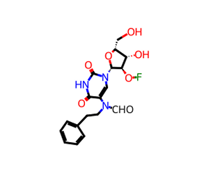 O=CN(CCc1ccccc1)c1cn([C@@H]2O[C@H](CO)[C@H](O)[C@H]2OF)c(=O)[nH]c1=O